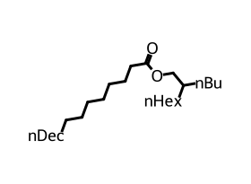 CCCCCCCCCCCCCCCCCC(=O)OCC(CCCC)CCCCCC